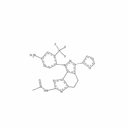 CC(=O)Nc1nc2c(s1)-c1c(c(-c3ccco3)nn1-c1ccc(N)cc1C(F)(F)F)CC2